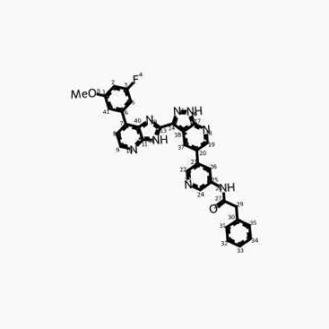 COc1cc(F)cc(-c2ccnc3[nH]c(-c4n[nH]c5ncc(-c6cncc(NC(=O)Cc7ccccc7)c6)cc45)nc23)c1